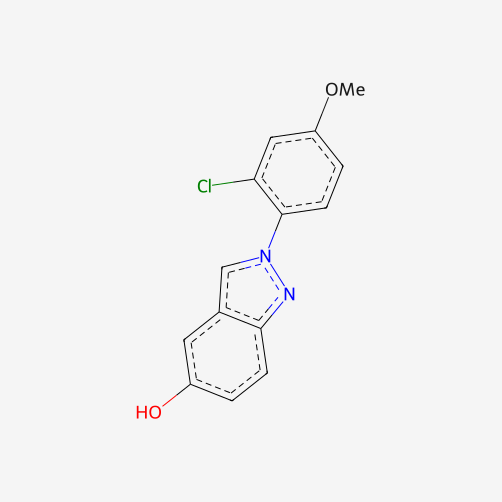 COc1ccc(-n2cc3cc(O)ccc3n2)c(Cl)c1